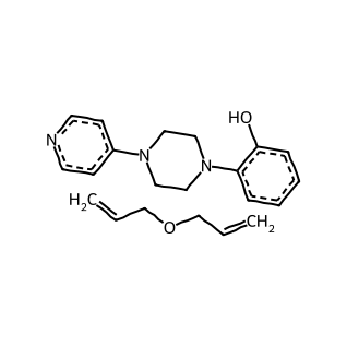 C=CCOCC=C.Oc1ccccc1N1CCN(c2ccncc2)CC1